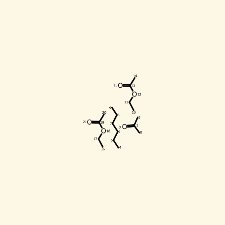 CC(C)=O.CCCCCC.CCOC(C)=O.CCOC(C)=O